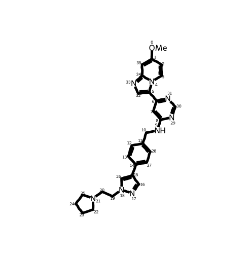 COc1ccn2c(-c3cc(NCc4ccc(-c5cnn(CCN6CCCC6)c5)cc4)ncn3)cnc2c1